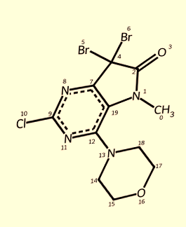 CN1C(=O)C(Br)(Br)c2nc(Cl)nc(N3CCOCC3)c21